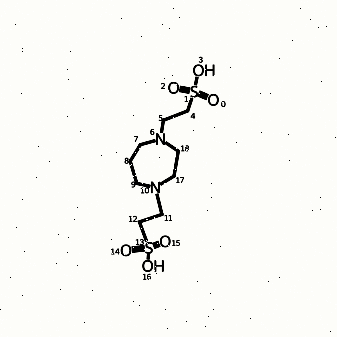 O=S(=O)(O)CCN1CCCN(CCS(=O)(=O)O)CC1